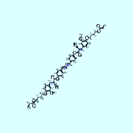 C=CC(=O)OCCCCOc1ccc(/C=C(\C#N)C(=O)Oc2ccc(/C=N/N=C/c3ccc(OC(=O)/C(C#N)=C/c4ccc(OCCCCOC(=O)C=C)c(OC)c4)cc3)cc2)cc1OC